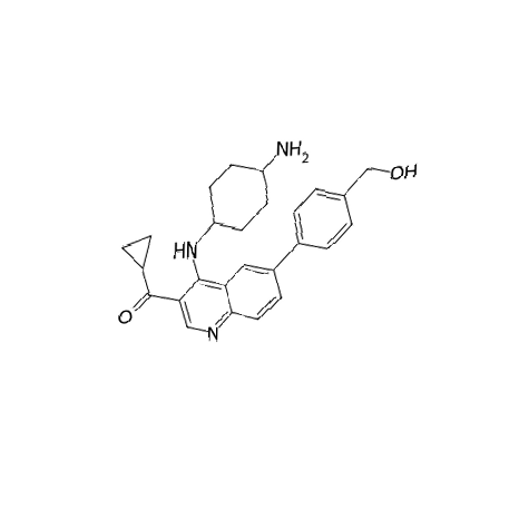 NC1CCC(Nc2c(C(=O)C3CC3)cnc3ccc(-c4ccc(CO)cc4)cc23)CC1